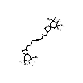 CN1C(C)(C)CC2(CC1(C)C)OCC(COCC#CCOCC1COC3(CC(C)(C)N(C)C(C)(C)C3)O1)O2